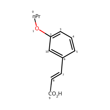 CCCOc1cccc(/C=C/C(=O)O)c1